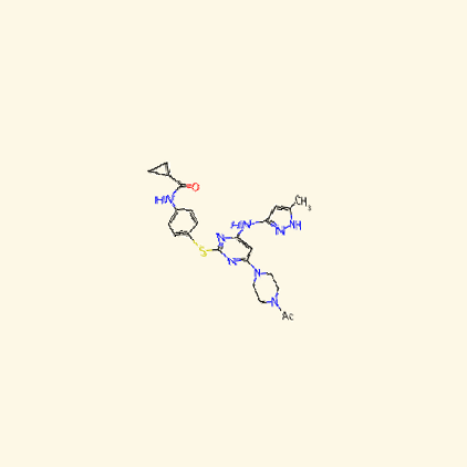 CC(=O)N1CCN(c2cc(Nc3cc(C)[nH]n3)nc(Sc3ccc(NC(=O)C4CC4)cc3)n2)CC1